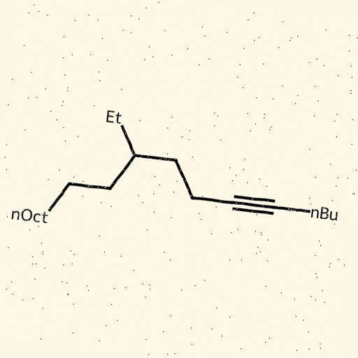 [CH2]CCCC#CCCC(CC)CCCCCCCCC[CH2]